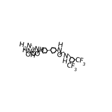 NC[C@H](NC(=O)c1ccc(-c2ccc(NC(=O)CNCc3cc(C(F)(F)F)cc(C(F)(F)F)c3)cc2)cc1)C(=O)NO